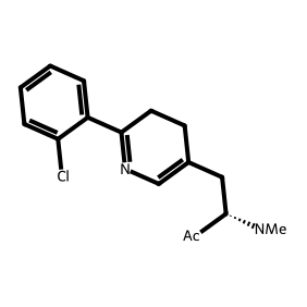 CN[C@@H](CC1=CN=C(c2ccccc2Cl)CC1)C(C)=O